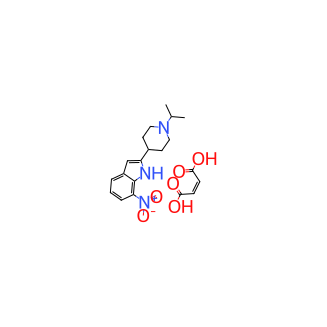 CC(C)N1CCC(c2cc3cccc([N+](=O)[O-])c3[nH]2)CC1.O=C(O)/C=C\C(=O)O